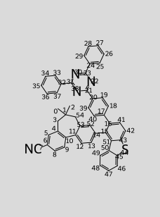 CC1(C)Cc2cc(C#N)ccc2-c2ccc(-c3c(-c4ccc(-c5nc(-c6ccccc6)nc(-c6ccccc6)n5)cc4)ccc4sc5ccccc5c34)cc2C1